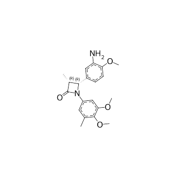 COc1ccc([C@H]2[C@@H](C)C(=O)N2c2cc(C)c(OC)c(OC)c2)cc1N